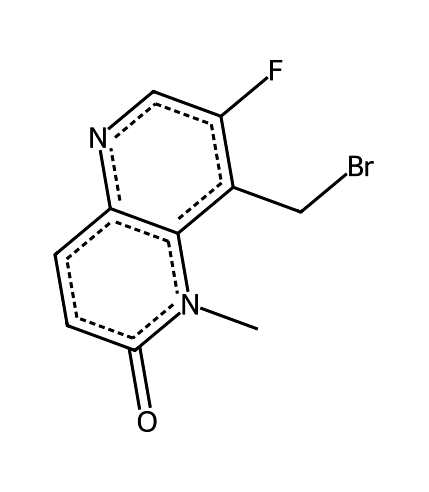 Cn1c(=O)ccc2ncc(F)c(CBr)c21